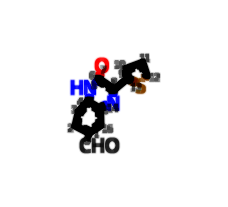 O=Cc1ccc2[nH]c(=O)c(-c3cccs3)nc2c1